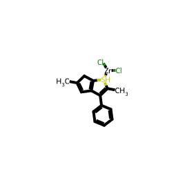 CC1=CC2=C(C1)[SH]([Zr]([Cl])[Cl])C(C)=C2c1ccccc1